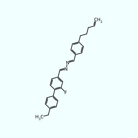 C=CCCCc1ccc(C=NN=Cc2ccc(-c3ccc(CC)cc3)c(F)c2)cc1